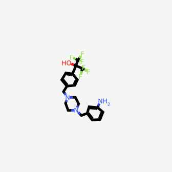 Nc1cccc(CN2CCN(Cc3ccc(C(O)(C(F)(F)F)C(F)(F)F)cc3)CC2)c1